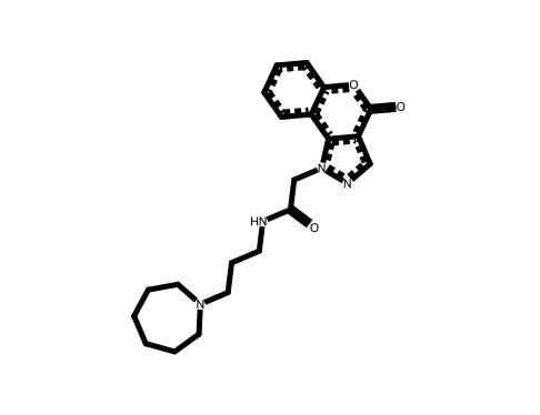 O=C(Cn1ncc2c(=O)oc3ccccc3c21)NCCCN1CCCCCC1